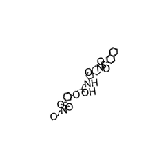 COCCN(C)S(=O)(=O)c1cccc(OCC(O)CNC2COC3(CCN(S(=O)(=O)c4ccc5ccccc5c4)CC3)C2)c1